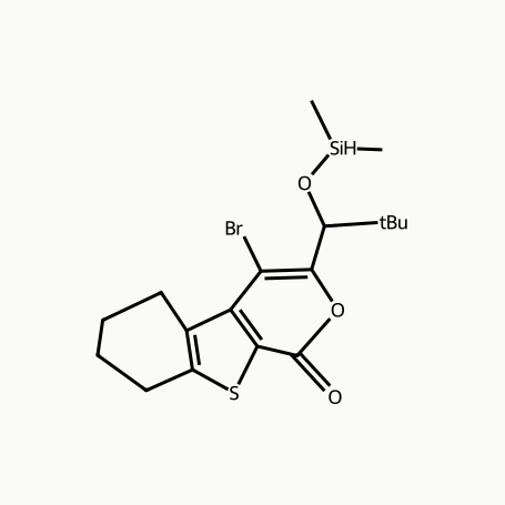 C[SiH](C)OC(c1oc(=O)c2sc3c(c2c1Br)CCCC3)C(C)(C)C